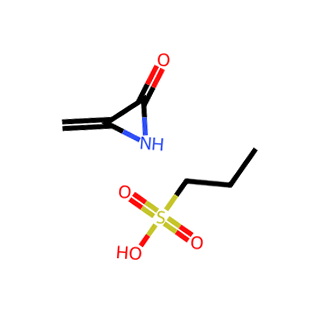 C=C1NC1=O.CCCS(=O)(=O)O